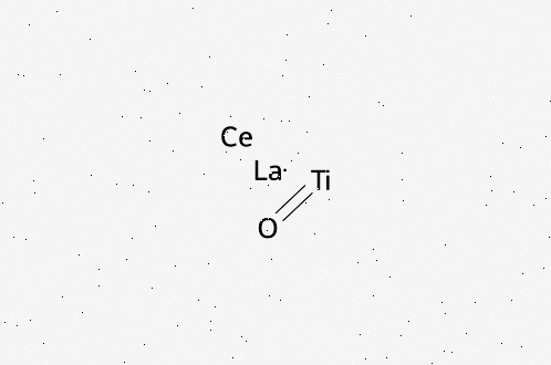 [Ce].[La].[O]=[Ti]